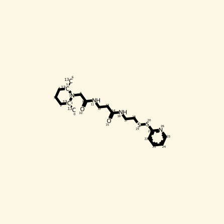 [13CH3][13C@@H]1CCC[13C@H]([13CH3])N1CC(=O)NCCC(=O)NCCSSc1ccccn1